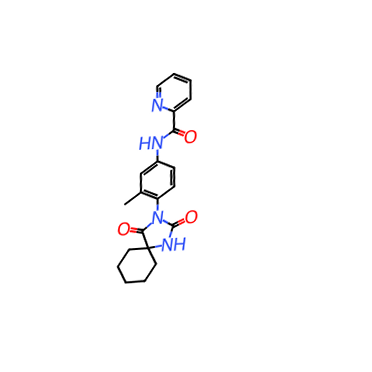 Cc1cc(NC(=O)c2ccccn2)ccc1N1C(=O)NC2(CCCCC2)C1=O